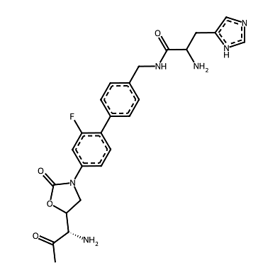 CC(=O)[C@@H](N)C1CN(c2ccc(-c3ccc(CNC(=O)C(N)Cc4cnc[nH]4)cc3)c(F)c2)C(=O)O1